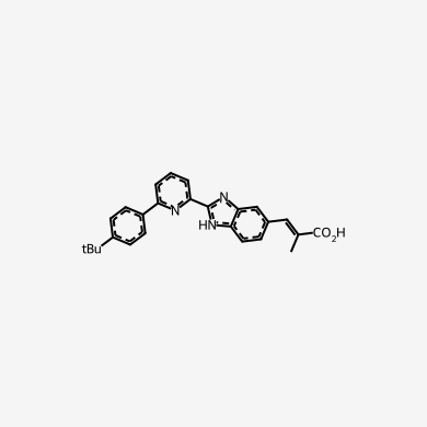 C/C(=C\c1ccc2[nH]c(-c3cccc(-c4ccc(C(C)(C)C)cc4)n3)nc2c1)C(=O)O